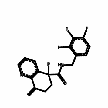 C=C1CCC(F)(C(=O)NCc2ccc(F)c(F)c2F)c2cccnc21